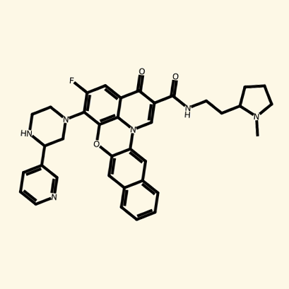 CN1CCCC1CCNC(=O)c1cn2c3c(c(N4CCNC(c5cccnc5)C4)c(F)cc3c1=O)Oc1cc3ccccc3cc1-2